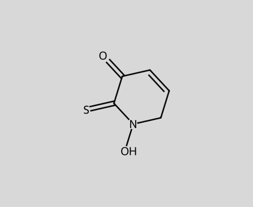 O=C1C=CCN(O)C1=S